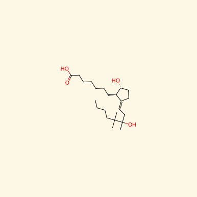 CCCCC(C)(C)C(C)(O)CC=C1CC[C@@H](O)[C@@H]1CCCCCCC(=O)O